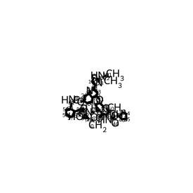 C=C[C@@H]1C[C@]1(NC(=O)[C@@H]1C[C@@H](Oc2cc(-c3csc(NC(C)C)n3)nc3cc(OC)ccc23)CN1C(=O)[C@@H](NC(=O)OC1CCCC1)C(C)(C)C)P(=O)(O)Cc1ccccc1C#N